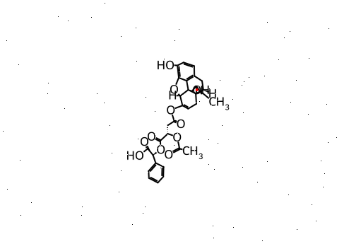 CC(=O)O[C@@H](CC(=O)OC1=CC[C@@]2(O)[C@H]3Cc4ccc(O)c5c4[C@@]2(CCN3C)[C@H]1O5)C(=O)O[C@H](C(=O)O)c1ccccc1